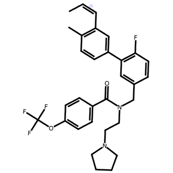 C/C=C\c1cc(-c2cc(CN(CCN3CCCC3)C(=O)c3ccc(OC(F)(F)F)cc3)ccc2F)ccc1C